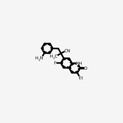 CCc1cc2cc(F)c(C(C)(C#N)Cc3cccc(N)c3)cc2[nH]c1=O